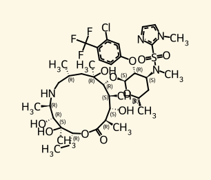 CC[C@H]1OC(=O)[C@H](C)[C@@H](O)[C@H](C)[C@@H](O[C@@H]2O[C@H](C)C[C@H](N(C)S(=O)(=O)c3nccn3C)[C@H]2Oc2ccc(C(F)(F)F)c(Cl)c2)[C@](C)(O)C[C@@H](C)CN[C@H](C)[C@@H](O)[C@]1(C)O